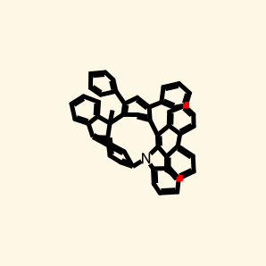 CC12c3cc(c(-c4ccccc4)cc3-c3ccccc3)-c3c(c4ccccc4c4ccccc34)N(c3ccccc3)c3ccc1c(c3)-c1ccccc12